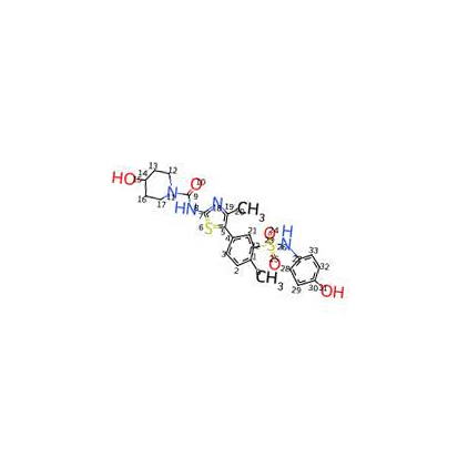 Cc1ccc(-c2sc(NC(=O)N3CCC(O)CC3)nc2C)cc1S(=O)(=O)Nc1ccc(O)cc1